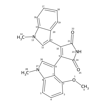 COc1cccc2c1c(C1=C(c3cn(C)c4ccccc34)C(=O)NC1=O)cn2C